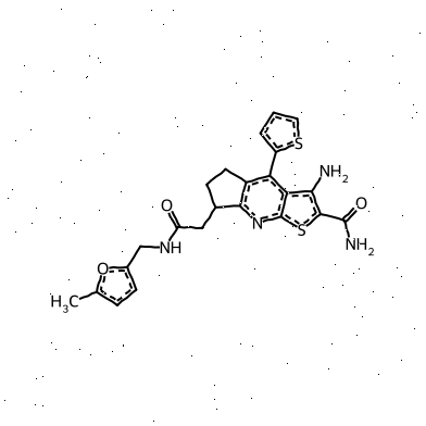 Cc1ccc(CNC(=O)CC2CCc3c2nc2sc(C(N)=O)c(N)c2c3-c2cccs2)o1